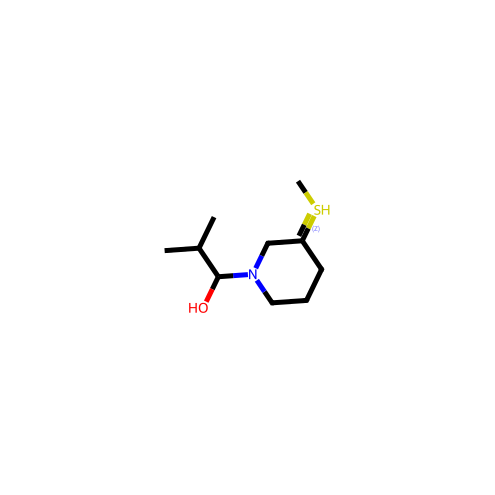 C/[SH]=C1/CCCN(C(O)C(C)C)C1